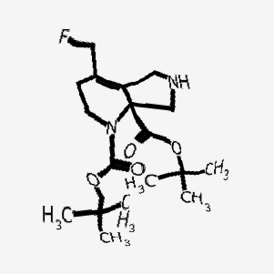 CC(C)(C)OC(=O)N1CCC(CF)=C2CNCC21C(=O)OC(C)(C)C